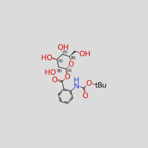 CC(C)(C)OC(=O)Nc1ccccc1C(=O)O[C@@H]1O[C@H](CO)[C@@H](O)[C@H](O)[C@H]1O